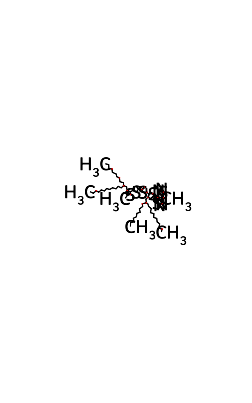 CCCCCCCCCCCCC(CCCCCCCCCC)Cc1cc(C)sc1-c1ccc(-c2ccc(-c3sc(-c4c5nnsc5c(C)c5nnsc45)cc3CC(CCCCCCCCCC)CCCCCCCCCCCC)s2)s1